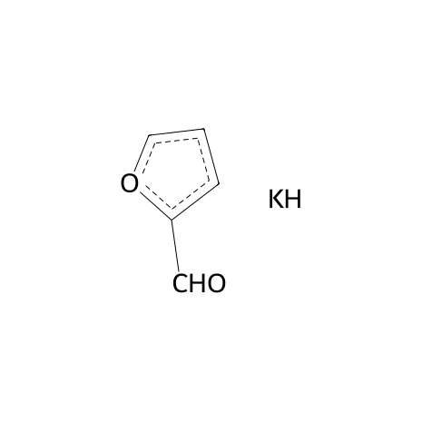 O=Cc1ccco1.[KH]